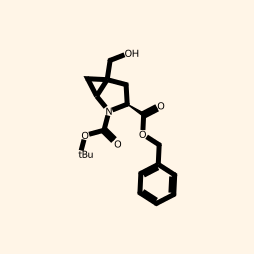 CC(C)(C)OC(=O)N1C2CC2(CO)C[C@H]1C(=O)OCc1ccccc1